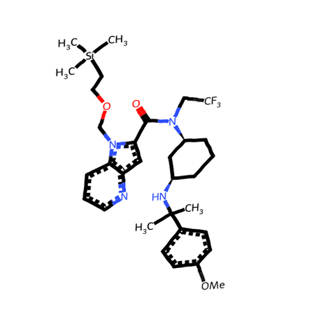 COc1ccc(C(C)(C)N[C@@H]2CCC[C@H](N(CC(F)(F)F)C(=O)c3cc4ncccc4n3COCC[Si](C)(C)C)C2)cc1